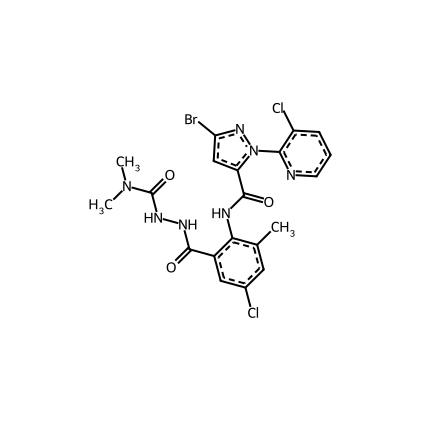 Cc1cc(Cl)cc(C(=O)NNC(=O)N(C)C)c1NC(=O)c1cc(Br)nn1-c1ncccc1Cl